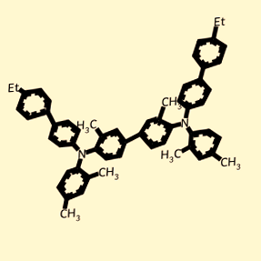 CCc1ccc(-c2ccc(N(c3ccc(C)cc3C)c3ccc(-c4ccc(N(c5ccc(-c6ccc(CC)cc6)cc5)c5ccc(C)cc5C)c(C)c4)cc3C)cc2)cc1